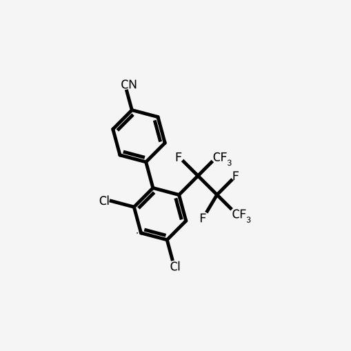 N#Cc1ccc(-c2c(Cl)[c]c(Cl)cc2C(F)(C(F)(F)F)C(F)(F)C(F)(F)F)cc1